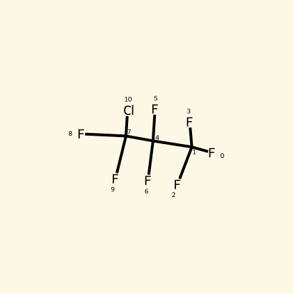 FC(F)(F)C(F)(F)C(F)(F)Cl